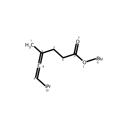 CCC(C)OC(=O)CCC(C)=C=CC(C)C